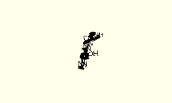 CC1(C)CC(c2nc3nc(-c4ccc(-n5nccn5)cc4O)cn3cc2C(F)(F)F)CC(C)(C)N1